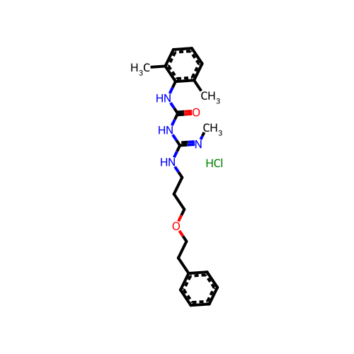 CN=C(NCCCOCCc1ccccc1)NC(=O)Nc1c(C)cccc1C.Cl